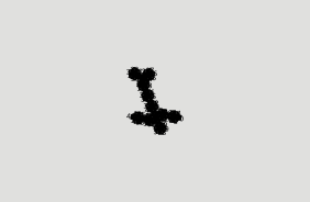 Cc1ccc(-c2ccc3c(-c4ccc(-c5ccc(-c6ccc7c(c6)c6ccccc6n7-c6ccccc6)cc5)cc4)c4cc(-c5ccc(C)cc5)ccc4c(-c4ccccc4)c3c2)cc1